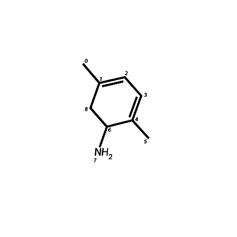 CC1=CC=C(C)C(N)C1